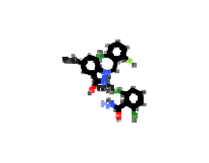 COc1ccc2c(c1)c(=O)n(C(=O)O)n2Cc1c(F)cccc1Cl.NC(=O)c1c(Cl)cccc1Cl